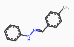 FC(F)(F)c1ccc(C=NNc2ccccc2)cc1